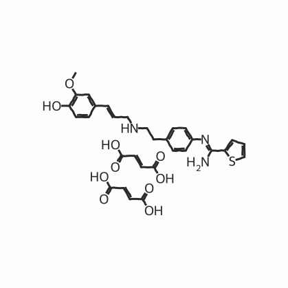 COc1cc(/C=C/CNCCc2ccc(/N=C(\N)c3cccs3)cc2)ccc1O.O=C(O)/C=C/C(=O)O.O=C(O)/C=C/C(=O)O